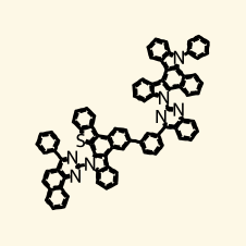 c1ccc(-c2nc(-n3c4ccccc4c4c5cc(-c6cccc(-c7nc(-n8c9ccccc9c9c%10c%11ccccc%11n(-c%11ccccc%11)c%10c%10ccccc%10c98)nc8ccccc78)c6)ccc5c5c6ccccc6sc5c43)nc3c2ccc2ccccc23)cc1